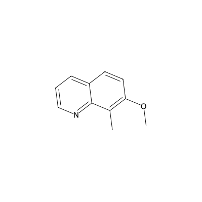 COc1ccc2cccnc2c1C